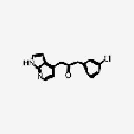 O=C(Cc1cccc(Cl)c1)Cc1ccnc2[nH]ccc12